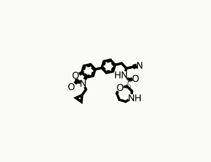 N#CC(Cc1ccc(-c2ccc3oc(=O)n(CC4CC4)c3c2)cc1)NC(=O)[C@@H]1CNCCCO1